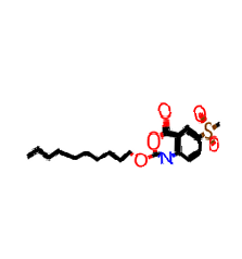 CCCCCCCCCCOc1nc2ccc(S(C)(=O)=O)cc2c(=O)o1